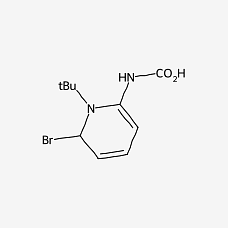 CC(C)(C)N1C(NC(=O)O)=CC=CC1Br